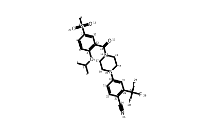 CC(C)Oc1ccc(S(C)(=O)=O)cc1C(=O)N1CCN(c2ccc(C#N)c(C(F)(F)F)c2)CC1